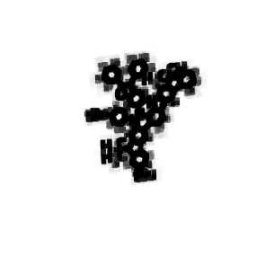 CC(C)(C)c1ccc(N2B3c4cc5oc(-c6ccccc6)c(-c6ccccc6)c5cc4-n4c5cc6c(cc5c5ccc(c3c54)-c3cc4c(cc32)C(C)(C)c2cc(C(C)(C)C)ccc2-4)-c2ccccc2C6(C)C)cc1